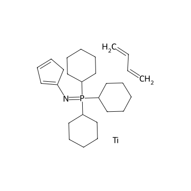 C1=CCC(N=P(C2CCCCC2)(C2CCCCC2)C2CCCCC2)=C1.C=CC=C.[Ti]